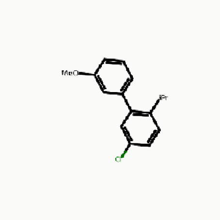 COc1cccc(-c2cc(Cl)ccc2C(C)C)c1